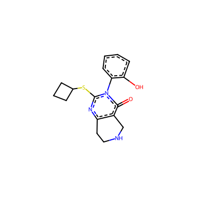 O=c1c2c(nc(SC3CCC3)n1-c1ccccc1O)CCNC2